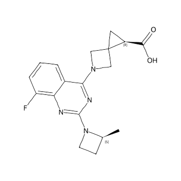 C[C@H]1CCN1c1nc(N2CC3(C[C@H]3C(=O)O)C2)c2cccc(F)c2n1